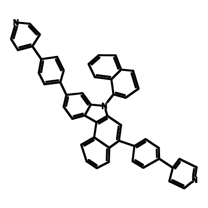 c1ccc2c(-n3c4cc(-c5ccc(-c6ccncc6)cc5)ccc4c4c5ccccc5c(-c5ccc(-c6ccncc6)cc5)cc43)cccc2c1